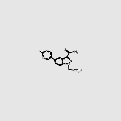 Cc1ncc(-c2ccc3c(c2)c(C(N)=S)nn3CC(=O)O)cn1